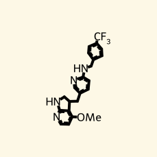 COc1ccnc2c1C(Cc1ccc(NCc3ccc(C(F)(F)F)cc3)nc1)CN2